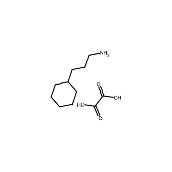 NCCCC1CCCCC1.O=C(O)C(=O)O